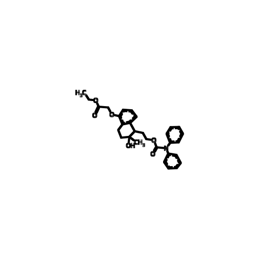 CCOC(=O)COc1cccc2c1CCC(C)(O)C2CCOC(=O)N(c1ccccc1)c1ccccc1